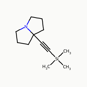 C[Si](C)(C)C#CC12CCCN1CCC2